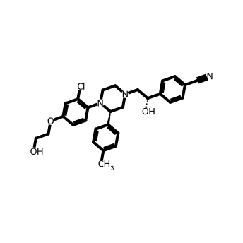 Cc1ccc([C@@H]2CN(C[C@@H](O)c3ccc(C#N)cc3)CCN2c2ccc(OCCO)cc2Cl)cc1